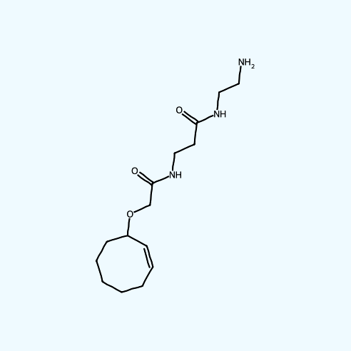 NCCNC(=O)CCNC(=O)COC1/C=C\CCCCC1